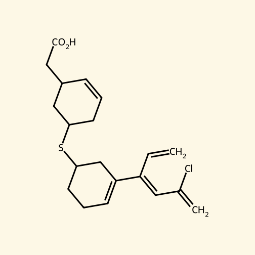 C=C/C(=C\C(=C)Cl)C1=CCCC(SC2CC=CC(CC(=O)O)C2)C1